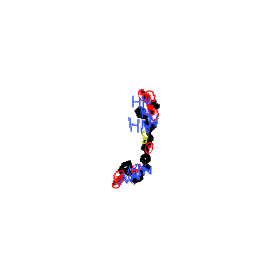 COC(=O)N[C@H](C(=O)N1CCC[C@H]1c1ncc(-c2cc3oc(-c4ccc(-c5cnc([C@@H]6C=CCN6C(=O)[C@H](NC(=O)OC)c6ccccc6)[nH]5)cc4)cc3s2)[nH]1)C(C)C